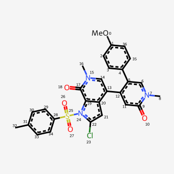 COc1ccc(-c2cn(C)c(=O)cc2-c2cn(C)c(=O)c3c2cc(Cl)n3S(=O)(=O)c2ccc(C)cc2)cc1